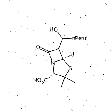 CCCCCC(O)C1C(=O)N2[C@@H]1SC(C)(C)[C@@H]2C(=O)O